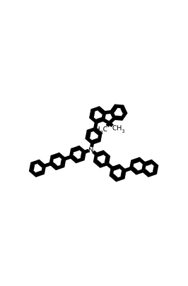 CC1(C)c2ccccc2-c2cccc(-c3ccc(N(c4ccc(-c5ccc(-c6ccccc6)cc5)cc4)c4ccc(-c5cccc(-c6ccc7ccccc7c6)c5)cc4)cc3)c21